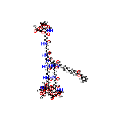 CC(=O)NC1C(C(=O)CCCC(=O)NCCCCC(=O)NCCN(CCNC(=O)CCCCNC(=O)CCCC(=O)C2OC(COC(C)=O)C(OC(C)=O)C(OC(C)=O)C2NC(C)=O)C(=O)CC[C@H](NC(=O)CCCCNC(=O)CCCC(=O)C2OC(COC(C)=O)C(OC(C)=O)C(OC(C)=O)C2NC(C)=O)C(=O)NCCCCCCCCCCC(=O)OCc2ccccc2)OC(COC(C)=O)C(OC(C)=O)C1OC(C)=O